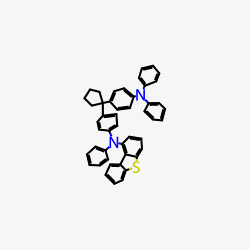 c1ccc(N(c2ccccc2)c2ccc(C3(c4ccc(N(c5ccccc5)c5cccc6sc7ccccc7c56)cc4)CCCC3)cc2)cc1